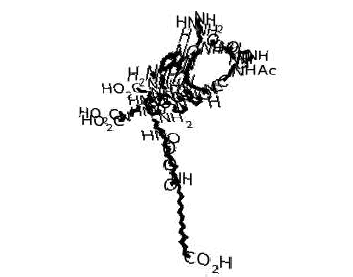 CC(=O)N[C@H]1CCCNC(=O)C[C@@H](C(=O)N2CCC[C@H]2C(=O)N2CCC[C@H]2C(=O)N[C@@H](CCCNC(=N)N)C(=O)N[C@@H](CCC(=O)O)C(=O)N[C@@H](CCCCN(CC(=O)O)CC(=O)O)C(=O)N[C@@H](CCCCNC(=O)COCCOCCNC(=O)CCCCCCCCCCCCCCC(=O)O)C(N)=O)NC(=O)[C@H](Cc2c[nH]c3ccccc23)NC(=O)[C@H](CCCNC(=N)N)NC(=O)CNC(=O)[C@H](Cc2c[nH]cn2)NC1=O